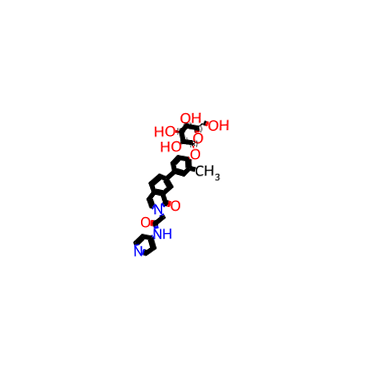 Cc1cc(-c2ccc3ccn(CC(=O)Nc4ccncc4)c(=O)c3c2)ccc1O[C@H]1O[C@@H](CO)[C@@H](O)[C@H](O)[C@H]1O